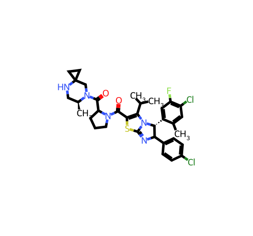 Cc1cc(Cl)c(F)cc1[C@@H]1C(c2ccc(Cl)cc2)N=C2SC(C(=O)N3CCCC3C(=O)N3CC4(CC4)NC[C@@H]3C)=C(C(C)C)N21